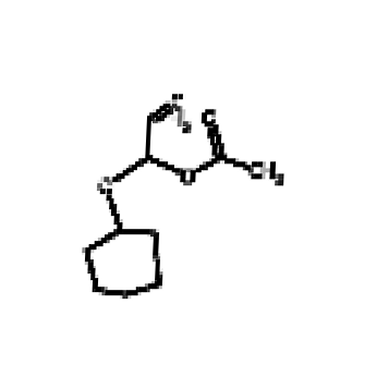 C=CC(OC(C)=O)OC1CCCCC1